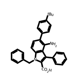 CC(C)(C)c1ccc(-c2ccc3c(c2N)c(-c2ccccc2)c(C(=O)O)n3Cc2ccccc2)cc1